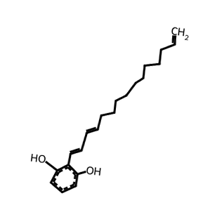 C=CCCCCCCCCCC=CC=Cc1c(O)cccc1O